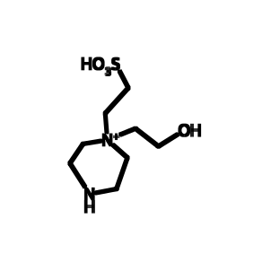 O=S(=O)(O)CC[N+]1(CCO)CCNCC1